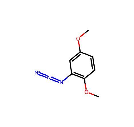 COc1ccc(OC)c(N=[N+]=[N-])c1